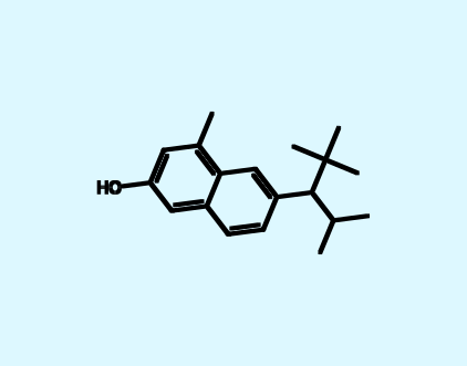 Cc1cc(O)cc2ccc(C(C(C)C)C(C)(C)C)cc12